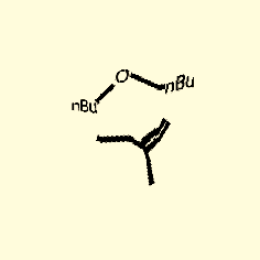 C=C(C)C.CCCCOCCCC